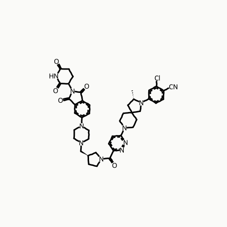 C[C@H]1CC2(CCN(c3ccc(C(=O)N4CC[C@@H](CN5CCN(c6ccc7c(c6)C(=O)N(C6CCC(=O)NC6=O)C7=O)CC5)C4)nn3)CC2)CN1c1ccc(C#N)c(Cl)c1